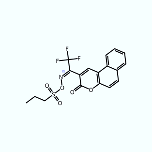 CCCS(=O)(=O)O/N=C(\c1cc2c(ccc3ccccc32)oc1=O)C(F)(F)F